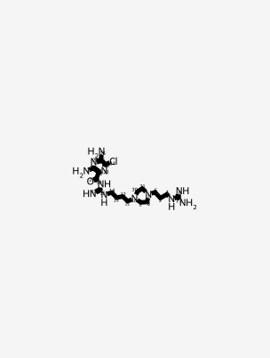 N=C(N)NCCCN1CCN(CCCCNC(=N)NC(=O)c2nc(Cl)c(N)nc2N)CC1